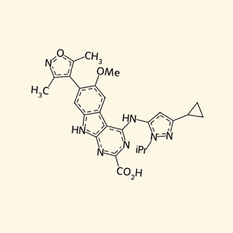 COc1cc2c(cc1-c1c(C)noc1C)[nH]c1nc(C(=O)O)nc(Nc3cc(C4CC4)nn3C(C)C)c12